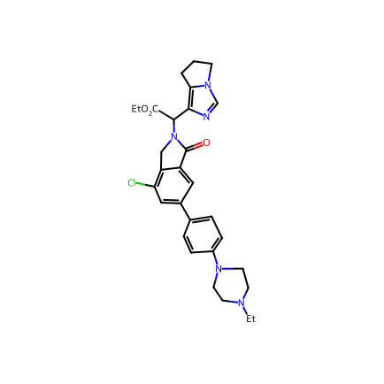 CCOC(=O)C(c1ncn2c1CCC2)N1Cc2c(Cl)cc(-c3ccc(N4CCN(CC)CC4)cc3)cc2C1=O